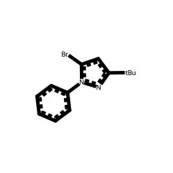 CC(C)(C)c1cc(Br)n(-c2ccccc2)n1